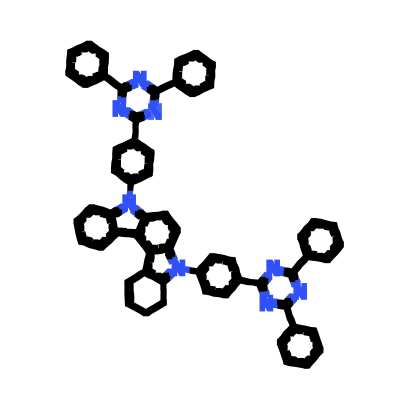 C1=Cc2c(n(-c3ccc(-c4nc(-c5ccccc5)nc(-c5ccccc5)n4)cc3)c3ccc4c(c5ccccc5n4-c4ccc(-c5nc(-c6ccccc6)nc(-c6ccccc6)n5)cc4)c23)CC1